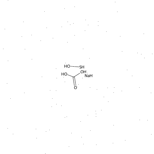 O=C(O)O.OS.[NaH]